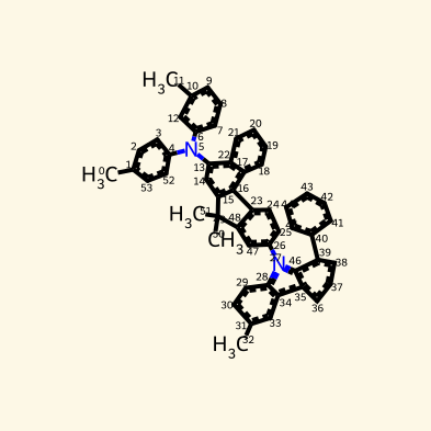 Cc1ccc(N(c2cccc(C)c2)c2cc3c(c4ccccc24)-c2ccc(-n4c5ccc(C)cc5c5cccc(-c6ccccc6)c54)cc2C3(C)C)cc1